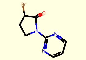 O=C1C(Br)CCN1c1ncccn1